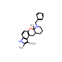 Cc1[nH]c2ccc3c(c2c1C(=O)O)CC1CCCN(Cc2ccccc2)C1(C)O3